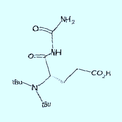 CC(C)(C)N([C@@H](CCC(=O)O)C(=O)NC(N)=O)C(C)(C)C